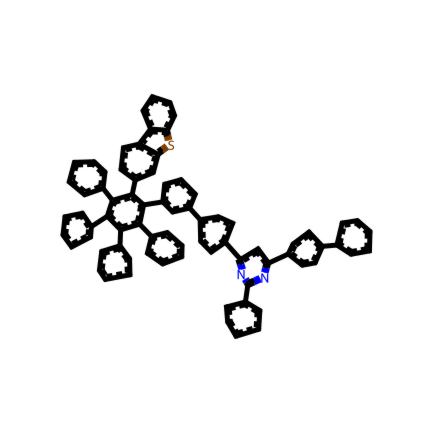 c1ccc(-c2ccc(-c3cc(-c4ccc(-c5cccc(-c6c(-c7ccccc7)c(-c7ccccc7)c(-c7ccccc7)c(-c7ccccc7)c6-c6ccc7c(c6)sc6ccccc67)c5)cc4)nc(-c4ccccc4)n3)cc2)cc1